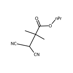 CCCOC(=O)C(C)(C)C(C#N)C#N